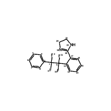 FC(F)(c1ccccc1)C(F)(F)c1ccccc1C1=NCCN1